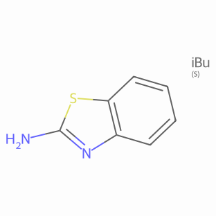 CC[C@H](C)c1ccc2nc(N)sc2c1